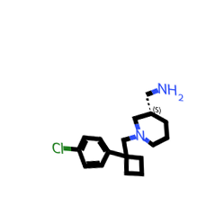 NC[C@@H]1CCCN(CC2(c3ccc(Cl)cc3)CCC2)C1